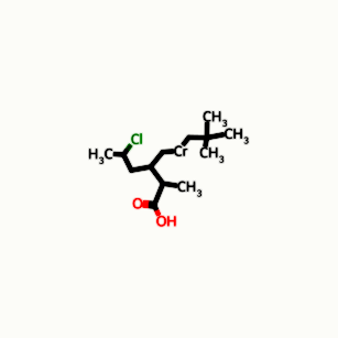 CC(Cl)CC([CH2][Cr][CH2]C(C)(C)C)C(C)C(=O)O